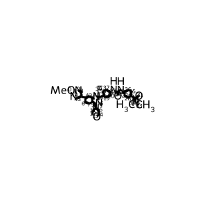 COc1ncc(-c2ccc3c(N4CCOCC4)nc(-c4ccc(NC(=O)Nc5ccc(C(=O)N(C)C)cc5)cc4F)nc3c2)cn1